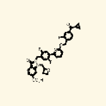 O=C(O)c1ccc2c(=O)n(Cc3cc(F)c(-c4cccc(OCc5ccc(C(=O)C6CC6)cc5F)n4)cc3F)n(CC3CCO3)c2c1